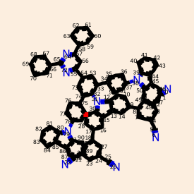 N#Cc1cc(C#N)cc(-c2ccc3c(c2)c2cc(-c4cc(C#N)cc(C#N)c4)ccc2n3-c2c(-c3ccc(-n4c5ccccc5c5ccccc54)cc3)cc(-c3cc(-c4ccccc4)nc(-c4ccccc4)n3)cc2-c2ccc(-n3c4ccccc4c4ccccc43)cc2)c1